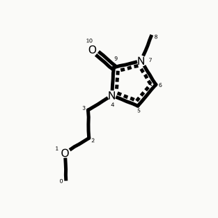 COCCn1ccn(C)c1=O